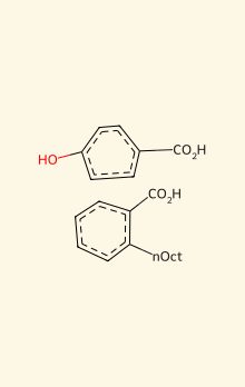 CCCCCCCCc1ccccc1C(=O)O.O=C(O)c1ccc(O)cc1